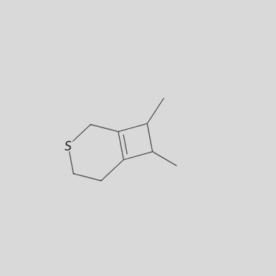 CC1C2=C(CSCC2)C1C